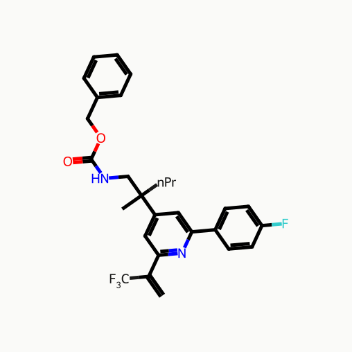 C=C(c1cc(C(C)(CCC)CNC(=O)OCc2ccccc2)cc(-c2ccc(F)cc2)n1)C(F)(F)F